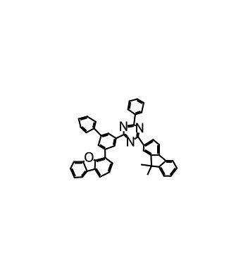 CC1(C)c2ccccc2-c2ccc(-c3nc(-c4ccccc4)nc(-c4cc(-c5ccccc5)cc(-c5cccc6c5oc5ccccc56)c4)n3)cc21